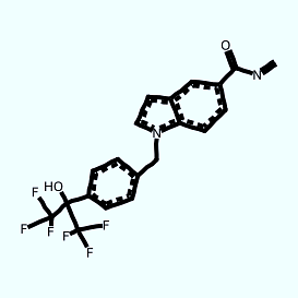 C=NC(=O)c1ccc2c(ccn2Cc2ccc(C(O)(C(F)(F)F)C(F)(F)F)cc2)c1